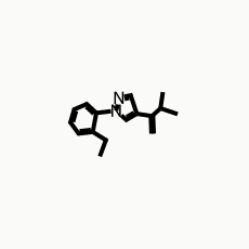 C=C(c1cnn(-c2ccccc2CC)c1)C(C)C